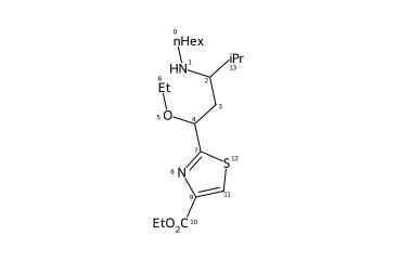 CCCCCCNC(CC(OCC)c1nc(C(=O)OCC)cs1)C(C)C